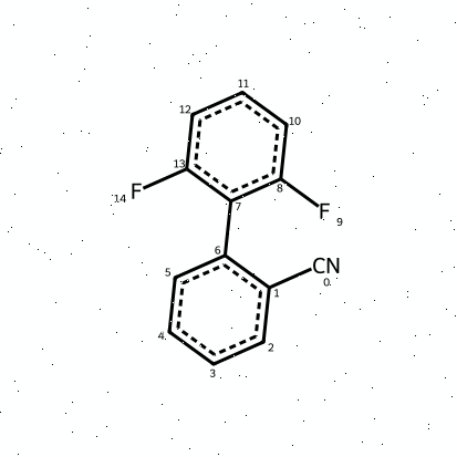 N#Cc1ccccc1-c1c(F)cccc1F